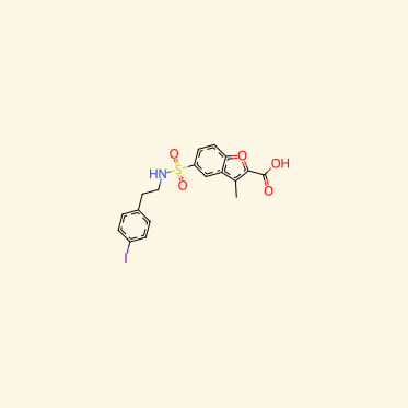 Cc1c(C(=O)O)oc2ccc(S(=O)(=O)NCCc3ccc(I)cc3)cc12